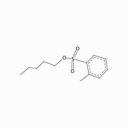 CCCCCOS(=O)(=O)c1ccccc1C